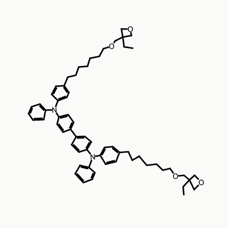 CCC1(COCCCCCCCc2ccc(N(c3ccccc3)c3ccc(-c4ccc(N(c5ccccc5)c5ccc(CCCCCCCOCC6(CC)COC6)cc5)cc4)cc3)cc2)COC1